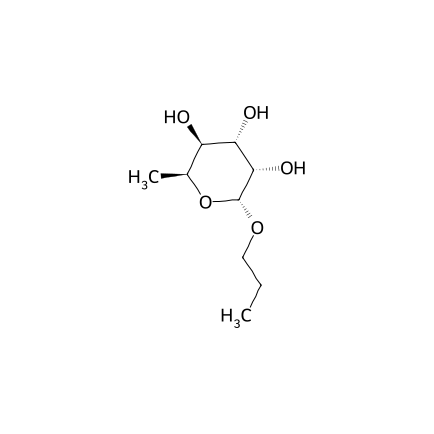 CCCO[C@@H]1O[C@@H](C)[C@@H](O)[C@H](O)[C@@H]1O